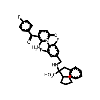 Nc1c(C(=O)c2ccc(F)cc2)ccc(=O)n1-c1c(F)cc(CNC(Cc2ccccc2)(C(=O)O)C2CCCC2)cc1F